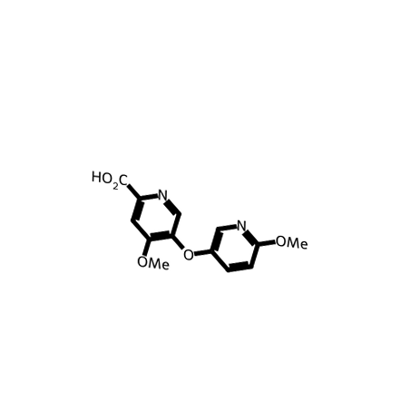 COc1ccc(Oc2cnc(C(=O)O)cc2OC)cn1